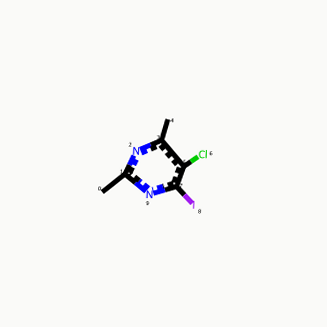 Cc1nc(C)c(Cl)c(I)n1